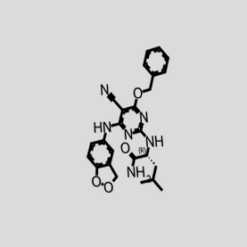 CC(C)C[C@@H](Nc1nc(Nc2ccc3c(c2)COO3)c(C#N)c(OCc2ccccc2)n1)C(N)=O